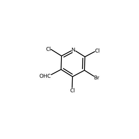 O=Cc1c(Cl)nc(Cl)c(Br)c1Cl